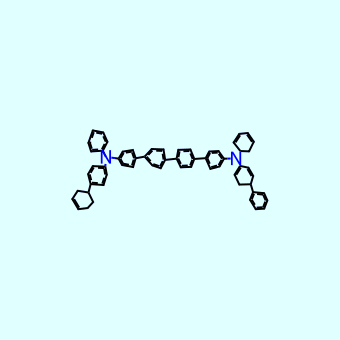 C1=CCC(N(C2=CCC(c3ccccc3)C=C2)c2ccc(-c3ccc(-c4ccc(-c5ccc(N(c6ccccc6)c6ccc(C7CC=CCC7)cc6)cc5)cc4)cc3)cc2)C=C1